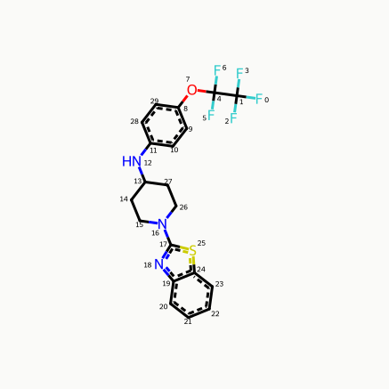 FC(F)(F)C(F)(F)Oc1ccc(NC2CCN(c3nc4ccccc4s3)CC2)cc1